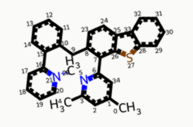 Cc1cc(C)nc(-c2c(Cc3ccccc3-c3cccc[n+]3C)ccc3c2sc2ccccc23)c1